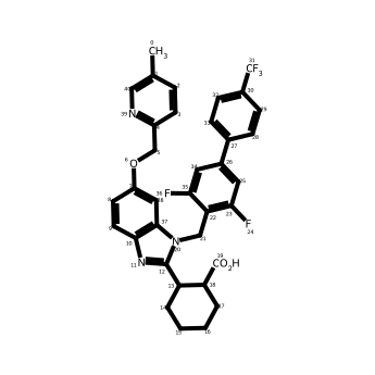 Cc1ccc(COc2ccc3nc(C4CCCCC4C(=O)O)n(Cc4c(F)cc(-c5ccc(C(F)(F)F)cc5)cc4F)c3c2)nc1